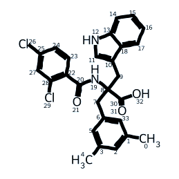 Cc1cc(C)cc(CC(Cc2c[nH]c3ccccc23)(NC(=O)c2ccc(Cl)cc2Cl)C(=O)O)c1